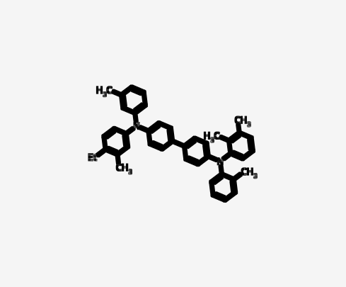 CCc1ccc(N(c2ccc(-c3ccc(N(c4ccccc4C)c4cccc(C)c4C)cc3)cc2)c2cccc(C)c2)cc1C